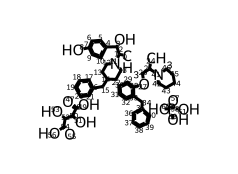 CC(C(O)c1ccc(O)cc1)N1CCC(Cc2ccccc2)CC1.CC(COc1ccccc1Cc1ccccc1)N1CCCCC1.O=C(O)C(O)C(O)C(=O)O.O=P(O)(O)O